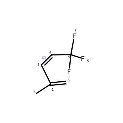 C=C(C)/C=C\C(F)(F)F